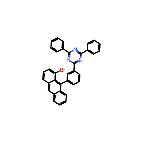 Brc1cccc2cc3ccccc3c(-c3cccc(-c4nc(-c5ccccc5)nc(-c5ccccc5)n4)c3)c12